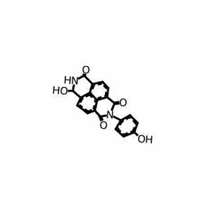 O=C1NC(O)c2ccc3c4c(ccc1c24)C(=O)N(c1ccc(O)cc1)C3=O